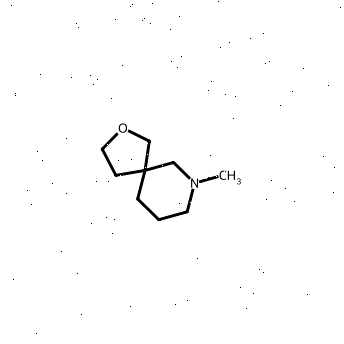 CN1CCCC2(CCOC2)C1